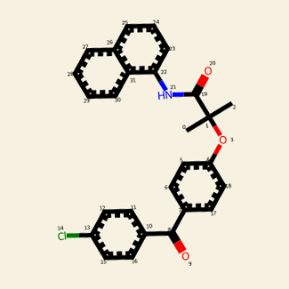 CC(C)(Oc1ccc(C(=O)c2ccc(Cl)cc2)cc1)C(=O)Nc1cccc2ccccc12